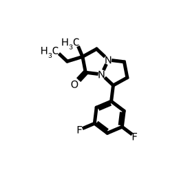 CCC1(C)CN2CCC(c3cc(F)cc(F)c3)N2C1=O